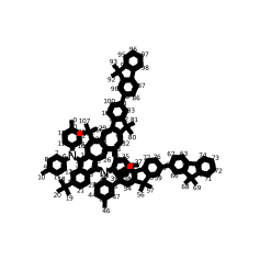 Cc1ccc(N(c2ccc(C)cc2)c2c3cc(C(C)(C)C)ccc3c3c4cc5c(cc6c(cc=5c5cc(C)ccc5n3-c3ccc(C)cc3-c3ccc5c(c3)C(C)(C)c3cc(-c7ccc8c(c7)C(C)(C)c7ccccc7-8)ccc3-5)C(C)(C)c3cc(-c5ccc7c(c5)C(C)(C)c5ccccc5-7)ccc3-6)c(C(C)(C)C)cc24)cc1